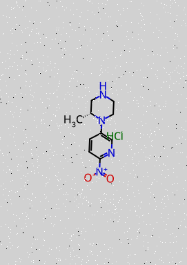 C[C@@H]1CNCCN1c1ccc([N+](=O)[O-])nc1.Cl